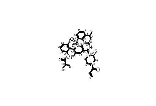 C=CC(=O)N1CCN(c2nc(=O)n(-c3c(C(C)C)cccc3S(C)(=O)=O)c3nc(-c4c(F)cccc4OC(=O)C(C)C)c(F)cc23)[C@@H](C)C1